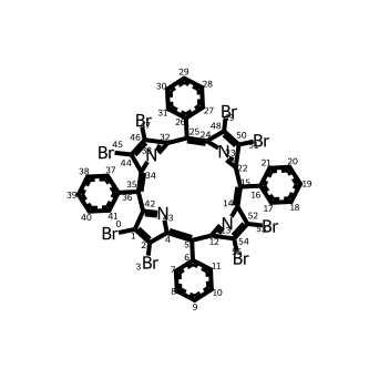 BrC1=C(Br)C2=C(c3ccccc3)C3=NC(=C(c4ccccc4)C4=NC(=C(c5ccccc5)C5=NC(=C(c6ccccc6)C1=N2)C(Br)=C5Br)C(Br)=C4Br)C(Br)=C3Br